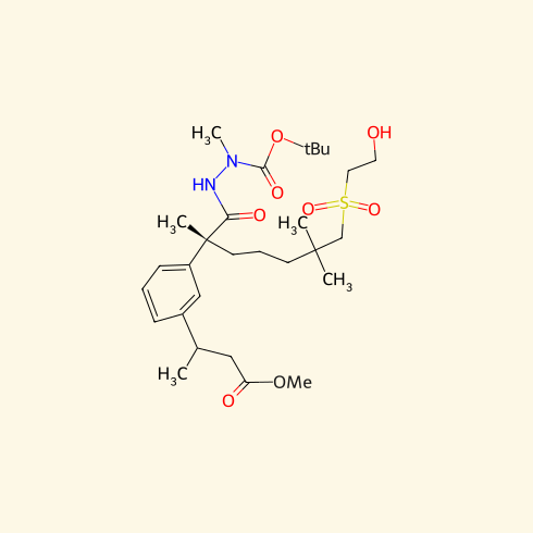 COC(=O)CC(C)c1cccc([C@@](C)(CCCC(C)(C)CS(=O)(=O)CCO)C(=O)NN(C)C(=O)OC(C)(C)C)c1